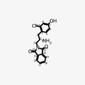 N[C@@H](Cc1ccc(O)cc1Cl)CN1C(=O)c2ccccc2C1=O